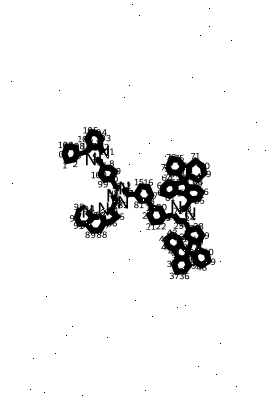 c1ccc(-c2nc(-c3ccc(-c4nc(-c5cccc(-c6cccc(-c7cc(-c8ccc9c(c8)C8(c%10ccccc%10-c%10ccccc%108)c8ccccc8-9)nc(-c8cccc9c8-c8ccccc8C9(c8ccccc8)c8ccccc8)n7)c6)c5)nc(-c5ccc6ccc7cccnc7c6n5)n4)cc3)nc3ccccc23)cc1